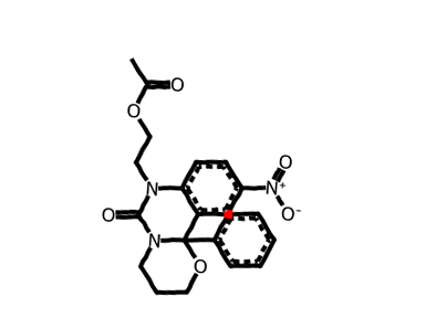 CC(=O)OCCN1C(=O)N2CCCOC2(c2ccccc2)c2cc([N+](=O)[O-])ccc21